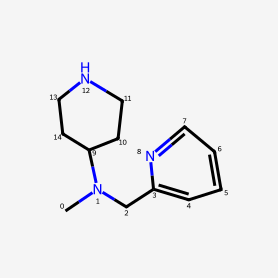 CN(Cc1ccccn1)C1CCNCC1